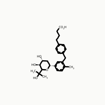 Cc1ccc([C@H]2C[C@@H](O)[C@H](O)C(C(C)(C)O)O2)cc1Cc1ccc(CCCC(=O)O)cc1